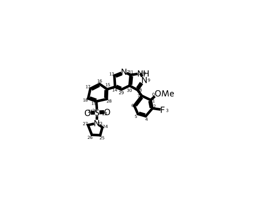 COc1c(F)cccc1-c1n[nH]c2ncc(-c3cccc(S(=O)(=O)N4CCCC4)c3)cc12